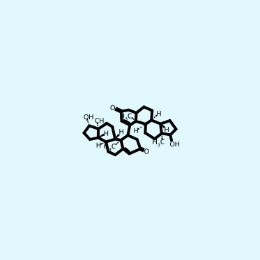 C[C@]12CC[C@H]3[C@@H](CCC4=CC(=O)CC(C5=CC(=O)CC6CC[C@@H]7[C@@H](CC[C@]8(C)C(O)CC[C@@H]78)[C@@]56C)[C@@]43C)[C@@H]1CC[C@@H]2O